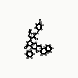 C#CCN(C(=O)NCc1ccc(F)cc1)N1CC(=O)N2C1CN(Cc1cccc3ccccc13)C(=O)[C@@H]2C1=CC=CCC1